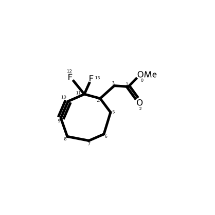 COC(=O)CC1CCCCC#CC1(F)F